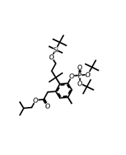 Cc1cc(CC(=O)OCC(C)C)c(C(C)(C)CCO[Si](C)(C)C(C)(C)C)c(OP(=O)(OC(C)(C)C)OC(C)(C)C)c1